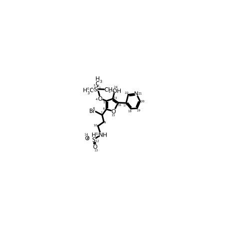 C[Si](C)(C)Oc1c(C(Br)CCN[SH](=O)=O)oc(-c2cccnc2)c1O